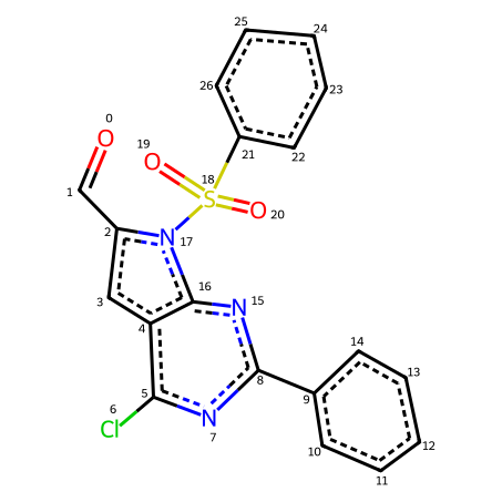 O=Cc1cc2c(Cl)nc(-c3ccccc3)nc2n1S(=O)(=O)c1ccccc1